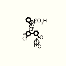 Cc1cc(OCc2nn(C(=O)O)c3ccccc23)c(-c2cc(C(=O)N3CCN(C)C(=O)C3)ccc2F)cc1Cl